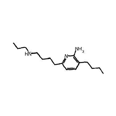 CCCCc1ccc(CCCCNCCC)nc1N